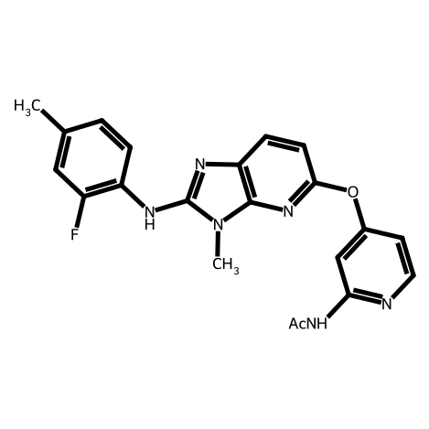 CC(=O)Nc1cc(Oc2ccc3nc(Nc4ccc(C)cc4F)n(C)c3n2)ccn1